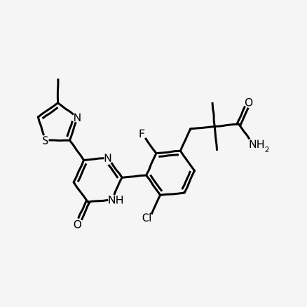 Cc1csc(-c2cc(=O)[nH]c(-c3c(Cl)ccc(CC(C)(C)C(N)=O)c3F)n2)n1